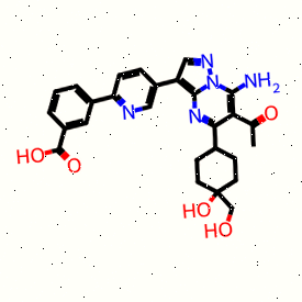 CC(=O)c1c(C2CCC(O)(CO)CC2)nc2c(-c3ccc(-c4cccc(C(=O)O)c4)nc3)cnn2c1N